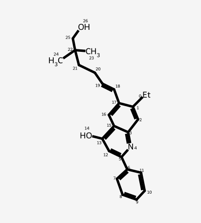 CCc1cc2nc(-c3ccccc3)cc(O)c2cc1/C=C/CCC(C)(C)CO